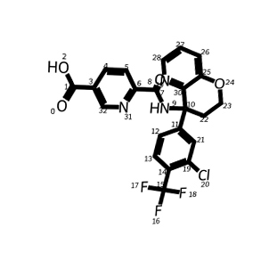 O=C(O)c1ccc(C(=O)NC2(c3ccc(C(F)(F)F)c(Cl)c3)CCOc3cccnc32)nc1